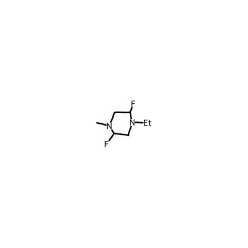 CCN1CC(F)N(C)CC1F